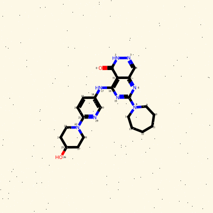 O=c1[nH]ncc2nc(N3CCCCCC3)nc(Nc3ccc(N4CCC(O)CC4)nc3)c12